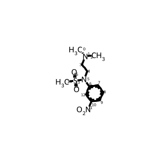 CN(C)CCN(c1cccc([N+](=O)[O-])c1)S(C)(=O)=O